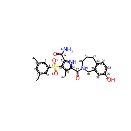 Cc1cc(C)cc(S(=O)(=O)c2c(C(N)=O)[nH]c(C(=O)N3CCCc4ccc(O)cc4C3)c2C)c1